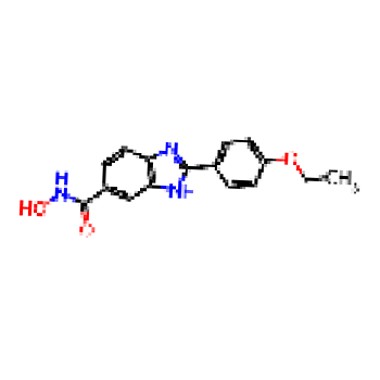 CCOc1ccc(-c2nc3ccc(C(=O)NO)cc3[nH]2)cc1